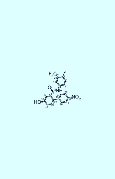 Cc1ccc(NC(=O)c2cc(O)cnc2-c2ccc([N+](=O)[O-])cc2)cc1C(F)(F)F